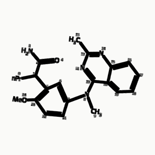 CCCC(C(N)=O)c1cc(N(C)c2nc(C)nc3ccccc23)ccc1OC